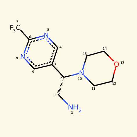 NC[C@H](c1cnc(C(F)(F)F)nc1)N1CCOCC1